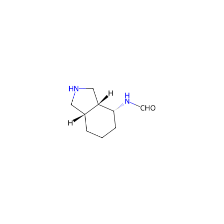 O=CN[C@@H]1CCC[C@@H]2CNC[C@@H]21